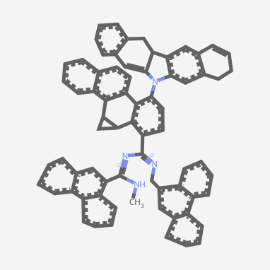 CN/C(=N\C(=N/Cc1cc2ccccc2c2ccccc12)c1ccc(N2C3=Cc4ccccc4CC3c3cc4c(cc32)CCC=C4)c2c1C1CC1c1c-2ccc2ccccc12)c1cc2ccccc2c2ccccc12